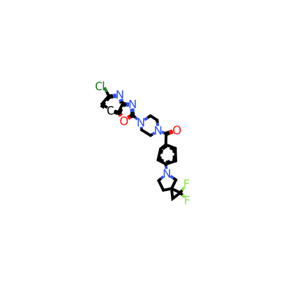 O=C(c1ccc(N2CCC3(C2)CC3(F)F)cc1)N1CCN(c2nc3nc(Cl)ccc3o2)CC1